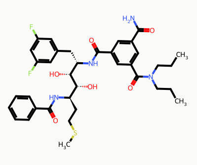 CCCN(CCC)C(=O)c1cc(C(N)=O)cc(C(=O)N[C@@H](Cc2cc(F)cc(F)c2)[C@@H](O)[C@H](O)[C@@H](CCSC)NC(=O)c2ccccc2)c1